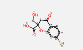 O=C1CC(CO)(C(=O)O)Oc2cc(S)ccc21